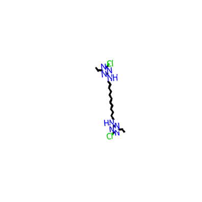 CCc1nc(Cl)nc(NCCCCCCCCCCCCNc2nc(Cl)nc(CC)n2)n1